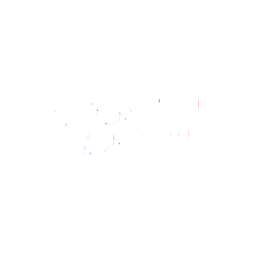 OC[C@H]1O[C@@H](n2cnc3c(-c4cccs4)ncnc32)[C@@H](O)[C@@H]1O